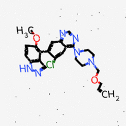 C=CCOCN1CCN(c2ncnc3cc(-c4c(OC)ccc5[nH]ncc45)c(Cl)cc23)CC1